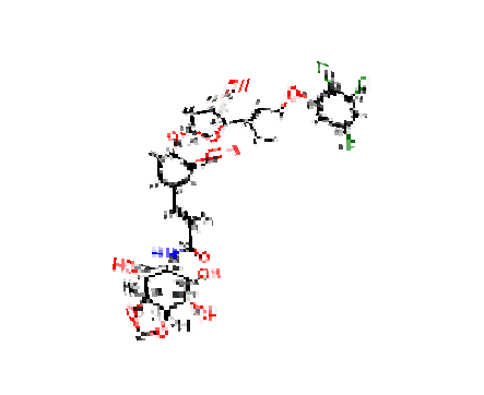 CCC(=CCOc1cc(F)cc(Cl)c1Cl)[C@H]1O[C@@H](Oc2ccc(C=C(C)C(=O)N[C@@H]3[C@H](O)[C@@H](O)[C@H]4OCO[C@H]4[C@@H]3O)cc2O)C[C@@H]1O